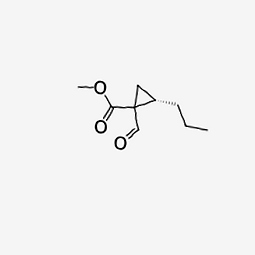 CCC[C@H]1CC1(C=O)C(=O)OC